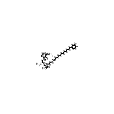 C[C@H](Cn1cnc2c(N)ncnc21)OCP(=O)(O)OCCCSCCCCCCCCCCCCc1cccc(F)c1